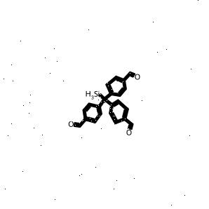 O=Cc1ccc(C([SiH3])(c2ccc(C=O)cc2)c2ccc(C=O)cc2)cc1